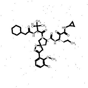 CCC[C@H](NC(=O)[C@@H]1C[C@]2(CC(c3cccc(Cl)c3OC)=NO2)CN1C(=O)[C@@H](NC(=O)CC1CCCCC1)C(C)(C)C)C(=O)C(=O)NC1CC1